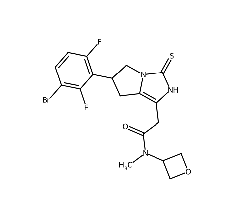 CN(C(=O)Cc1[nH]c(=S)n2c1CC(c1c(F)ccc(Br)c1F)C2)C1COC1